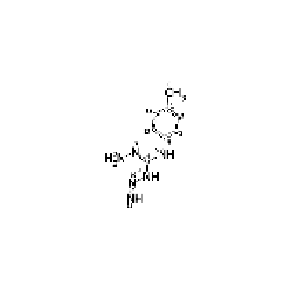 Cc1ccc(NC(=NN)NN=N)cc1